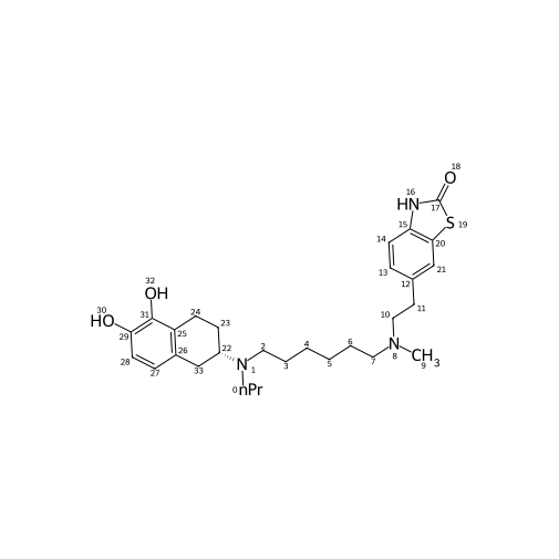 CCCN(CCCCCCN(C)CCc1ccc2[nH]c(=O)sc2c1)[C@H]1CCc2c(ccc(O)c2O)C1